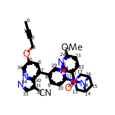 CC#CCOc1cc(-c2ccc(N3CC4CC(C3)N4C(=O)c3ccc(OC)nc3)nc2)c2c(C#N)cnn2c1